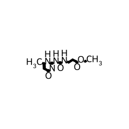 CCOC(=O)CCNC(=O)Nc1nc(=O)cc(C)[nH]1